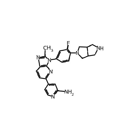 Cc1nc2ccc(-c3ccnc(N)c3)nc2n1-c1ccc(N2CC3CNCC3C2)c(F)c1